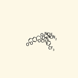 C=N/C(=C\C(=N/C)OC1Cc2cc3ccc(=O)oc3cc2OC1(C)C)c1ccc(C(F)(F)F)cc1